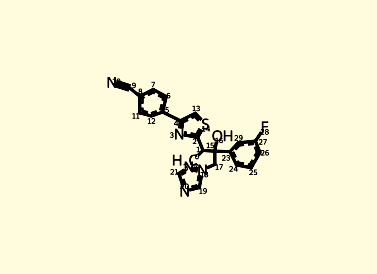 CC(c1nc(-c2ccc(C#N)cc2)cs1)C(O)(Cn1cncn1)c1cccc(F)c1